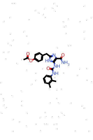 CC(=O)Oc1ccc(Cc2nc(C(N)=O)c(NC(=O)Nc3cccc(C)c3C)[nH]2)cc1